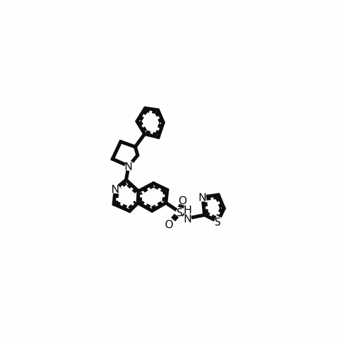 O=S(=O)(Nc1nccs1)c1ccc2c(N3CCC(c4ccccc4)C3)nccc2c1